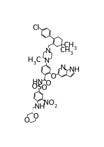 C[C@@H]1CN(CC2=C(c3ccc(Cl)cc3)CCC(C)(C)C2)CCN1c1ccc(C(=O)NS(=O)(=O)c2ccc(NC[C@H]3COCCO3)c([N+](=O)[O-])c2)c(Oc2cnc3[nH]ccc3c2)c1